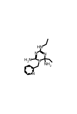 CCNC1=NC(N)(CC)N(Cc2ccccn2)C(N)=N1